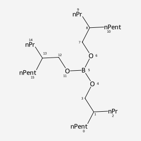 CCCCCC(CCC)COB(OCC(CCC)CCCCC)OCC(CCC)CCCCC